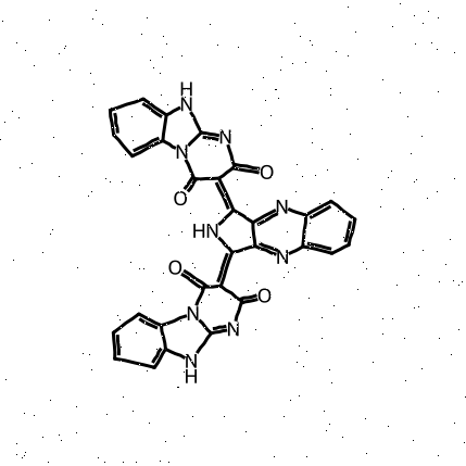 O=C1N=C2Nc3ccccc3N2C(=O)C1=c1[nH]c(=C2C(=O)N=C3Nc4ccccc4N3C2=O)c2nc3ccccc3nc12